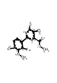 COC(=O)c1nc(-c2ccc(Cl)c(OC)c2F)nc(Cl)c1Cl